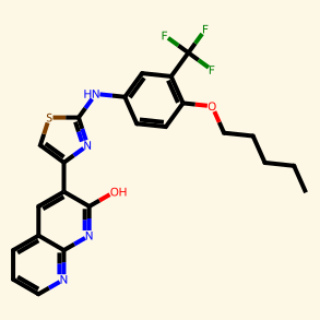 CCCCCOc1ccc(Nc2nc(-c3cc4cccnc4nc3O)cs2)cc1C(F)(F)F